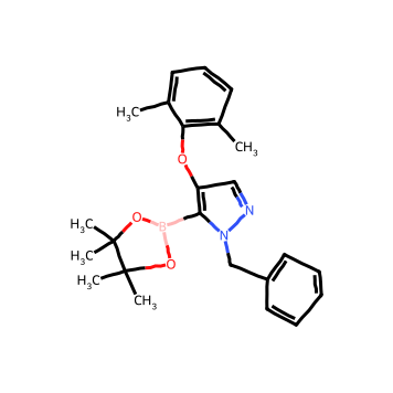 Cc1cccc(C)c1Oc1cnn(Cc2ccccc2)c1B1OC(C)(C)C(C)(C)O1